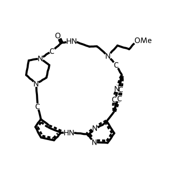 COCCN1CCNC(=O)CN2CCN(CC2)Cc2cccc(c2)Nc2nccc(n2)-c2ccc(nc2)C1